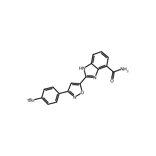 CC(C)(C)c1ccc(-c2cc(-c3nc4c(C(N)=O)cccc4[nH]3)on2)cc1